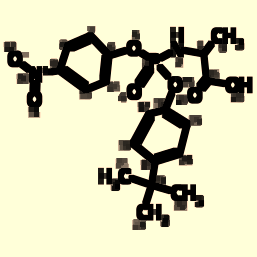 CC(NP(=O)(Oc1ccc([N+](=O)[O-])cc1)Oc1ccc(C(C)(C)C)cc1)C(=O)O